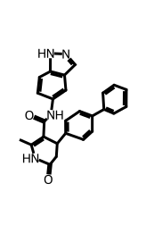 CC1=C(C(=O)Nc2ccc3[nH]ncc3c2)C(c2ccc(-c3ccccc3)cc2)CC(=O)N1